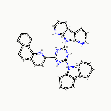 c1ccc2c(c1)ccc1ccc(-c3nc(-n4c5ccccc5c5ccccc54)nc(-n4c5ncccc5c5cccnc54)n3)nc12